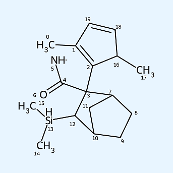 CC1=C(C2(C([NH])=O)C3CCC(C3)C2[SiH](C)C)C(C)C=C1